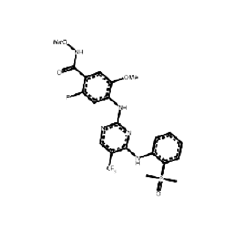 CONC(=O)c1cc(OC)c(Nc2ncc(C(F)(F)F)c(Nc3ccccc3P(C)(C)=O)n2)cc1F